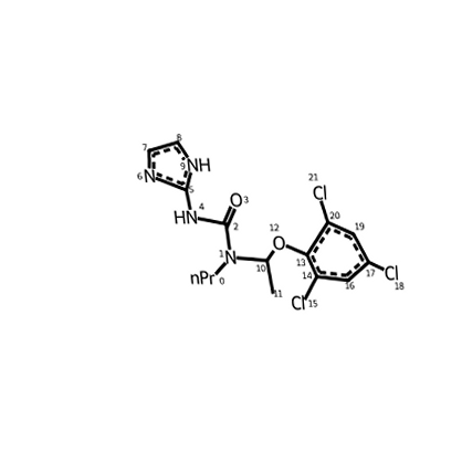 CCCN(C(=O)Nc1ncc[nH]1)C(C)Oc1c(Cl)cc(Cl)cc1Cl